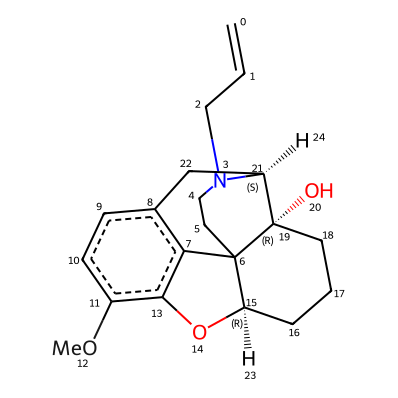 C=CCN1CCC23c4c5ccc(OC)c4O[C@@H]2CCC[C@]3(O)[C@@H]1C5